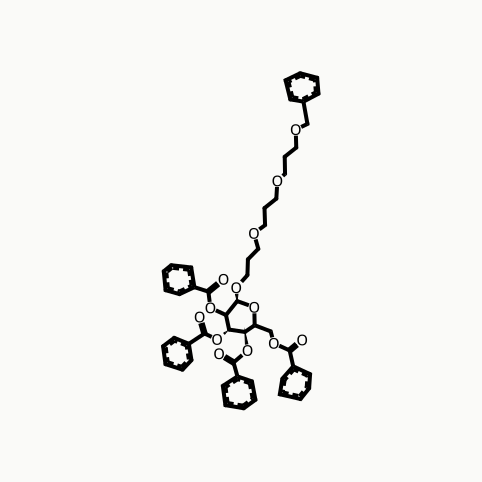 O=C(OCC1O[C@H](OCCCOCCCOCCCOCc2ccccc2)C(OC(=O)c2ccccc2)[C@@H](OC(=O)c2ccccc2)[C@@H]1OC(=O)c1ccccc1)c1ccccc1